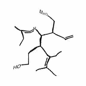 C=CC(COC)C(N=C(C)C)C(CCO)C(C)=C(C)C